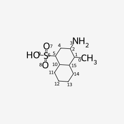 CC1C(N)CC(S(=O)(=O)O)C2CCCCC12